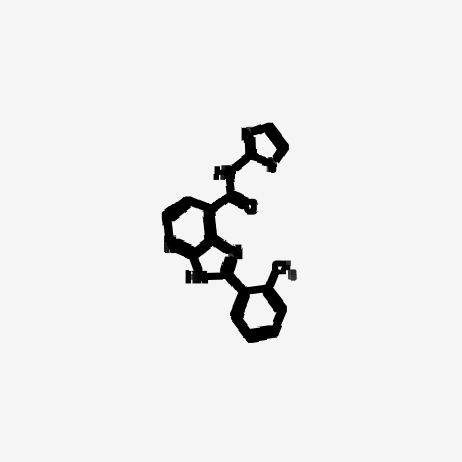 O=C(Nc1nccs1)c1ccnc2[nH]c(-c3ccccc3C(F)(F)F)nc12